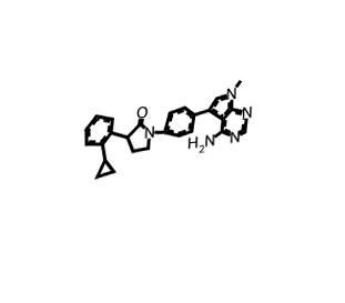 Cn1cc(-c2ccc(N3CCC(c4ccccc4C4CC4)C3=O)cc2)c2c(N)ncnc21